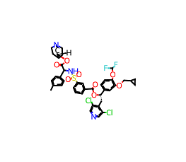 Cc1ccc(C(NS(=O)(=O)c2cccc(C(=O)O[C@@H](Cc3c(Cl)cncc3Cl)c3ccc(OC(F)F)c(OCC4CC4)c3)c2)C(=O)O[C@H]2CN3CCC2CC3)cc1